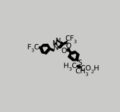 CC(C)(Sc1ccc(C(=O)O[C@H](c2cn(Cc3ccc(C(F)(F)F)cc3)nn2)C(F)(F)F)cc1)C(=O)O